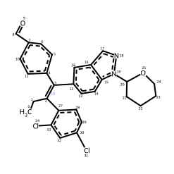 CC/C(=C(\c1ccc(C=O)cc1)c1ccc2c(cnn2C2CCCCO2)c1)c1ccc(Cl)cc1Cl